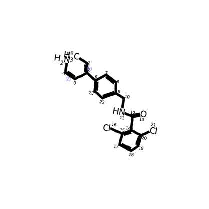 C/C=C(\C=C/N)c1ccc(CNC(=O)c2c(Cl)cccc2Cl)cc1